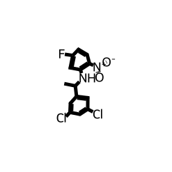 CC(Nc1cc(F)ccc1[N+](=O)[O-])c1cc(Cl)cc(Cl)c1